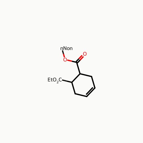 CCCCCCCCCOC(=O)C1CC=CCC1C(=O)OCC